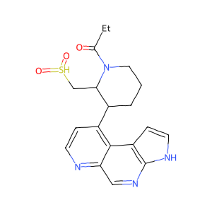 CCC(=O)N1CCCC(c2ccnc3cnc4[nH]ccc4c23)C1C[SH](=O)=O